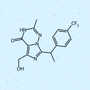 Cc1nn2c(C(C)c3ccc(C(F)(F)F)cc3)nc(CO)c2c(=O)[nH]1